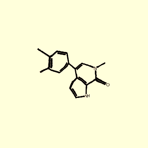 Cc1ccc(-c2cn(C)c(=O)c3[nH]ccc23)cc1C